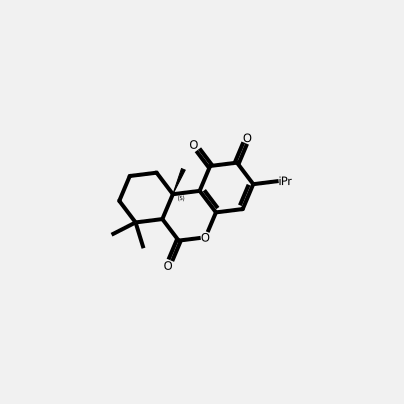 CC(C)C1=CC2=C(C(=O)C1=O)[C@@]1(C)CCCC(C)(C)C1C(=O)O2